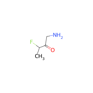 CC(F)C(=O)CN